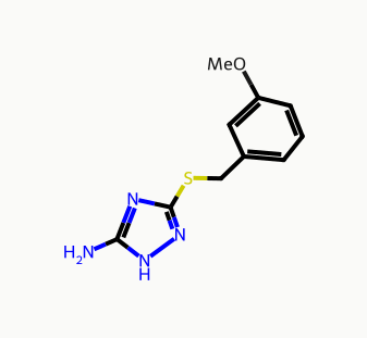 COc1cccc(CSc2n[nH]c(N)n2)c1